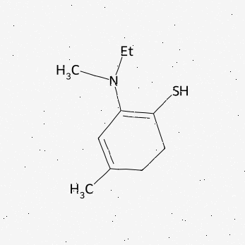 CCN(C)C1=C(S)CCC(C)=C1